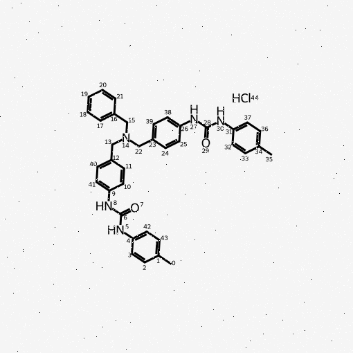 Cc1ccc(NC(=O)Nc2ccc(CN(Cc3ccccc3)Cc3ccc(NC(=O)Nc4ccc(C)cc4)cc3)cc2)cc1.Cl